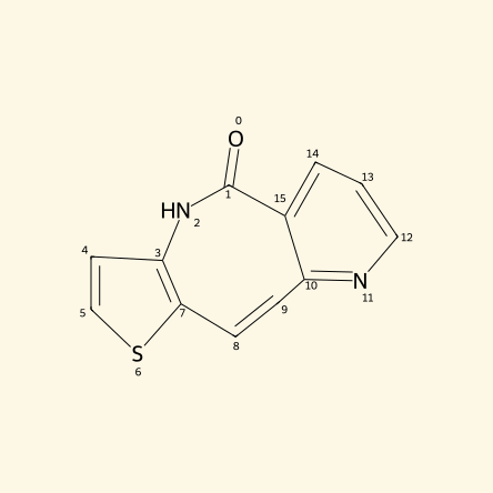 O=C1Nc2ccsc2/C=C\c2ncccc21